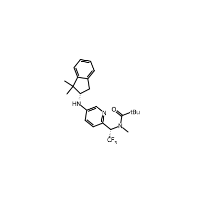 CN(C(=O)C(C)(C)C)[C@@H](c1ccc(N[C@H]2Cc3ccccc3C2(C)C)cn1)C(F)(F)F